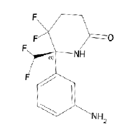 Nc1cccc([C@@]2(C(F)F)NC(=O)CCC2(F)F)c1